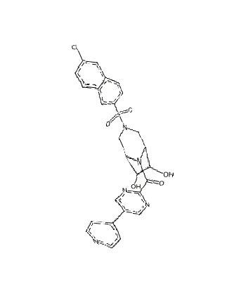 O=C(c1ncc(-c2ccncc2)cn1)N1C2CN(S(=O)(=O)c3ccc4cc(Cl)ccc4c3)CC1C(O)C2O